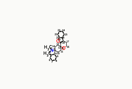 CN(C)C1(c2ccccc2)CCC2(CC1)OCCc1c2oc2ccccc12